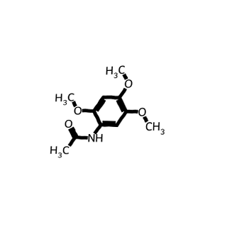 COc1cc(OC)c(OC)cc1NC(C)=O